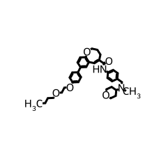 CCCCOCCOc1ccc(-c2ccc3c(c2)C=C(C(=O)Nc2ccc(CN(C)C4CCOCC4)cc2)CCCO3)cc1